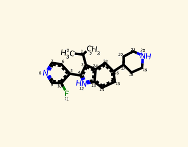 CC(C)c1c(-c2ccncc2F)[nH]c2ccc(C3CCNCC3)cc12